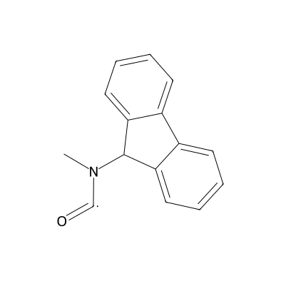 CN([C]=O)C1c2ccccc2-c2ccccc21